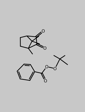 CC(C)(C)OOC(=O)c1ccccc1.CC12CCC(C(=O)C1=O)C2(C)C